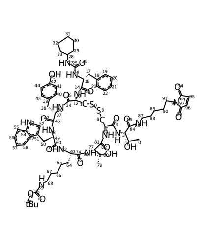 C[C@@H](O)[C@H](NC(=O)[C@@H]1CSSC[C@H](NC(=O)[C@@H](Cc2ccccc2)NC(=O)NC2CCCCC2)C(=O)N[C@@H](Cc2ccc(O)cc2)C(=O)N[C@H](Cc2c[nH]c3ccccc23)C(=O)N[C@@H](CCCCCNC(=O)OC(C)(C)C)C(=O)N[C@@H]([C@@H](C)O)C(=O)N1)C(=O)NCCCCCN1C(=O)C=CC1=O